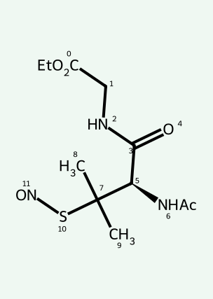 CCOC(=O)CNC(=O)[C@@H](NC(C)=O)C(C)(C)SN=O